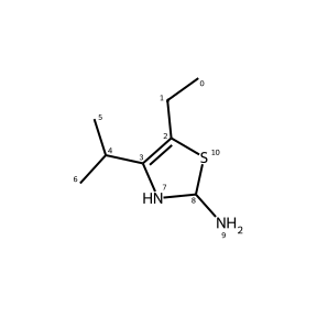 CCC1=C(C(C)C)NC(N)S1